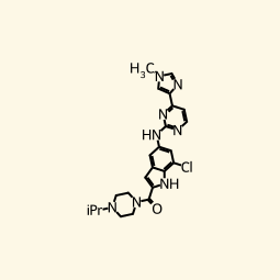 CC(C)N1CCN(C(=O)c2cc3cc(Nc4nccc(-c5cn(C)cn5)n4)cc(Cl)c3[nH]2)CC1